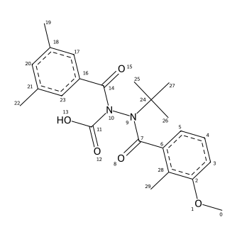 COc1cccc(C(=O)N(N(C(=O)O)C(=O)c2cc(C)cc(C)c2)C(C)(C)C)c1C